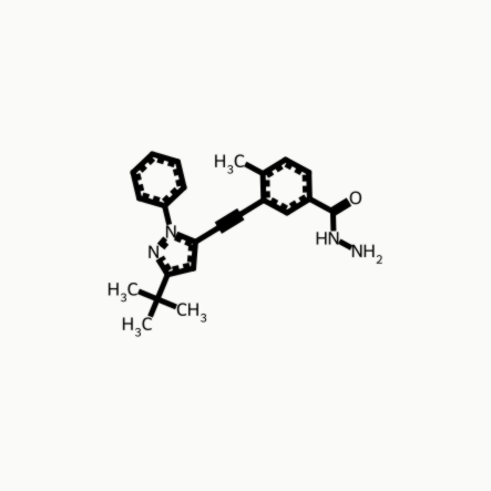 Cc1ccc(C(=O)NN)cc1C#Cc1cc(C(C)(C)C)nn1-c1ccccc1